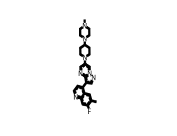 Cc1cc2c(-c3cnn4cc(N5CCC(N6CCN(C)CC6)CC5)cnc34)ccnc2cc1F